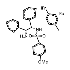 COc1ccc(S(=O)(=O)N[C@@H](c2ccccc2)[C@@H](N)c2ccccc2)cc1.Cc1ccc(C(C)C)cc1.[Ru]